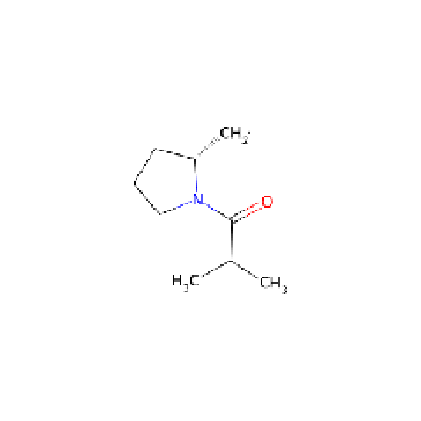 [CH2][C@H]1CCCN1C(=O)C(C)C